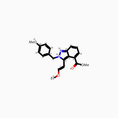 CCO/C=C/c1c2c(C(=O)OC)cccc2nn1Cc1ccc(OC)cc1